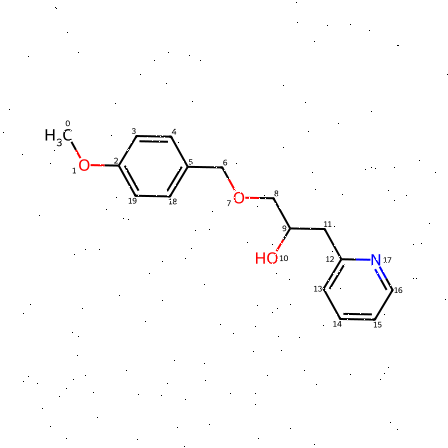 COc1ccc(COCC(O)Cc2ccccn2)cc1